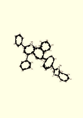 c1ccc(-c2cc(-c3ccccc3)c3cc(-c4ccc(-c5nc6ccccc6o5)cc4)c4ccccc4c3n2)cc1